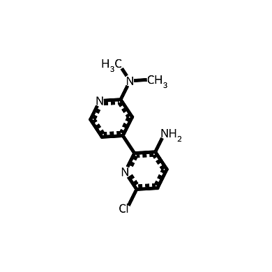 CN(C)c1cc(-c2nc(Cl)ccc2N)ccn1